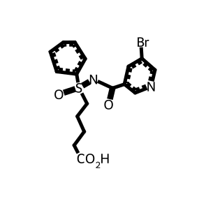 O=C(O)CCCCS(=O)(=NC(=O)c1cncc(Br)c1)c1ccccc1